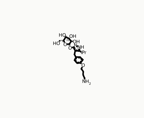 CC(C)c1[nH]nc(O[C@@H]2O[C@H](CO)[C@@H](O)[C@H](O)[C@H]2O)c1Cc1ccc(OCCCCN)cc1